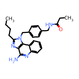 CCCCc1nc2c(N)nc3ccccc3c2n1Cc1ccc(CNC(=O)CC)cc1